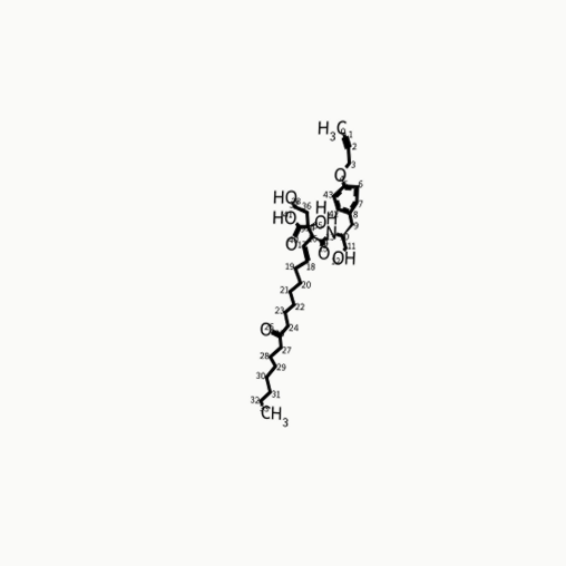 CC#CCOc1ccc(C[C@@H](CO)NC(=O)[C@@H](/C=C/CCCCCCC(=O)CCCCCCC)[C@@](O)(CCO)C(=O)O)cc1